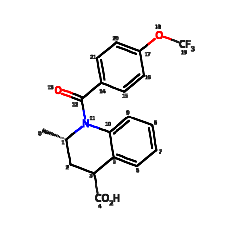 C[C@H]1CC(C(=O)O)c2ccccc2N1C(=O)c1ccc(OC(F)(F)F)cc1